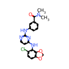 CN(C)C(=O)c1cccc(Nc2nccc(Nc3c(Cl)ccc4c3OCO4)n2)c1